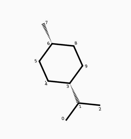 CC(C)[C@@H]1[CH]C[C@H](C)CC1